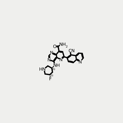 N#Cc1c(-c2cc(C(N)=O)c3ncnc(N[C@@H]4CNC[C@@H](F)C4)c3n2)ccc2ncccc12